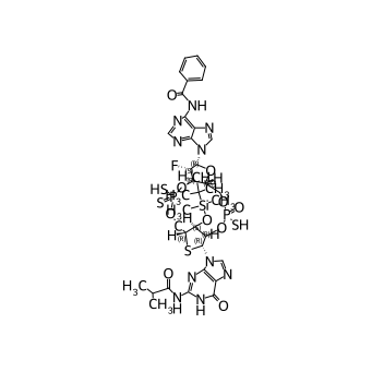 CC(C)C(=O)Nc1nc2c(ncn2[C@@H]2S[C@@H]3COP(=S)(S)O[C@H]4[C@H](F)[C@H](n5cnc6c(NC(=O)c7ccccc7)ncnc65)O[C@@H]4COP(=O)(S)O[C@@H]2[C@@H]3O[Si](C)(C)C(C)(C)C)c(=O)[nH]1